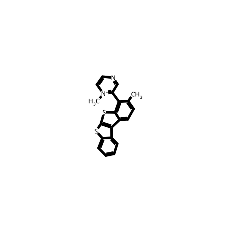 Cc1ccc2c(sc3sc4ccccc4c32)c1-c1cncc[n+]1C